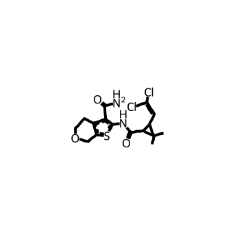 CC1(C)C(C=C(Cl)Cl)C1C(=O)Nc1sc2c(c1C(N)=O)CCOC2